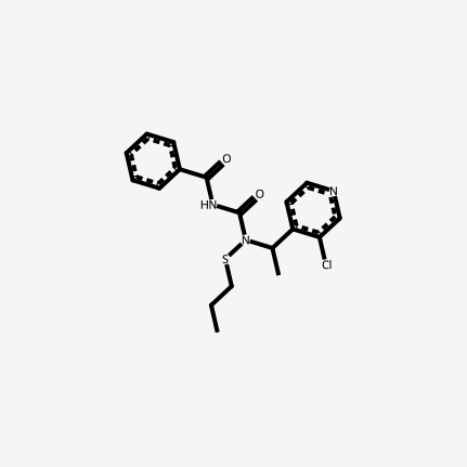 CCCSN(C(=O)NC(=O)c1ccccc1)C(C)c1ccncc1Cl